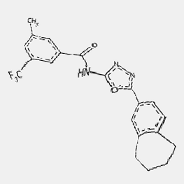 Cc1cc(C(=O)Nc2nnc(-c3ccc4c(c3)CCCC4)o2)cc(C(F)(F)F)c1